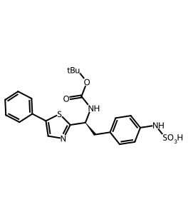 CC(C)(C)OC(=O)N[C@@H](Cc1ccc(NS(=O)(=O)O)cc1)c1ncc(-c2ccccc2)s1